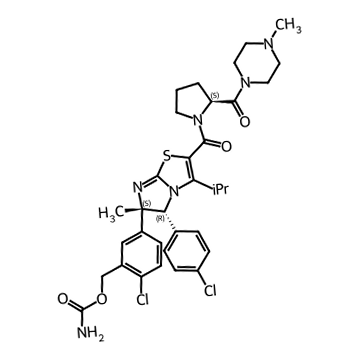 CC(C)C1=C(C(=O)N2CCC[C@H]2C(=O)N2CCN(C)CC2)SC2=N[C@@](C)(c3ccc(Cl)c(COC(N)=O)c3)[C@@H](c3ccc(Cl)cc3)N21